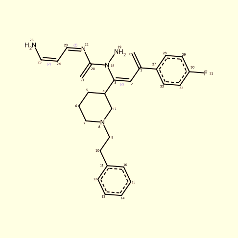 C=C(/C=C(/C1CCCN(CCc2ccccc2)C1)N(N)C(=C)/N=C\C=C/N)c1ccc(F)cc1